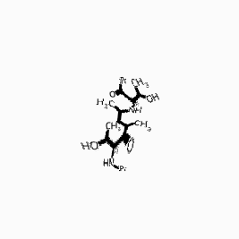 CC(C)N[C@H](C(=O)C(C)CC(C)N[C@@H](C(=O)C(C)C)C(C)O)C(C)O